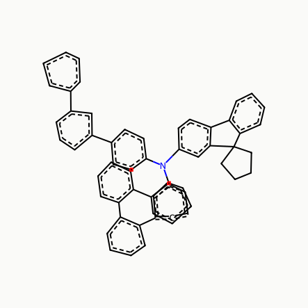 c1ccc(-c2cccc(-c3ccc(N(c4ccc5c(c4)C4(CCCC4)c4ccccc4-5)c4ccccc4-c4ccccc4-c4ccccc4-c4ccccc4)cc3)c2)cc1